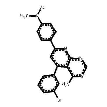 CC(=O)N(C)c1ccc(-c2cc(-c3cccc(Br)c3)c3c(N)ncnc3n2)cc1